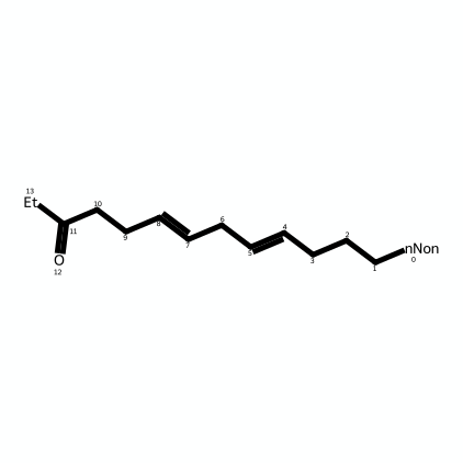 CCCCCCCCCCCCC=CCC=CCCC(=O)CC